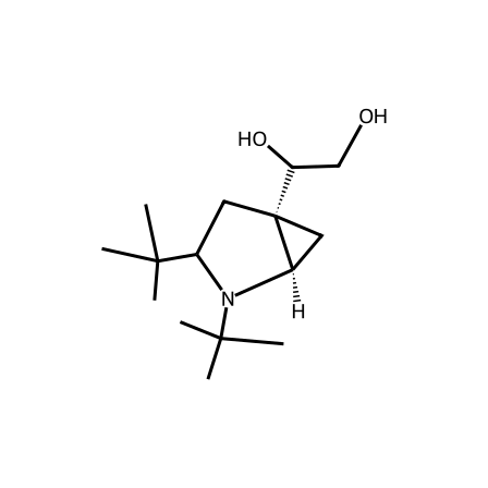 CC(C)(C)C1C[C@@]2(C(O)CO)C[C@H]2N1C(C)(C)C